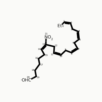 CC/C=C\C/C=C\C/C=C\C/C=C\C/C(=C\CCCCC[C]=O)[N+](=O)[O-]